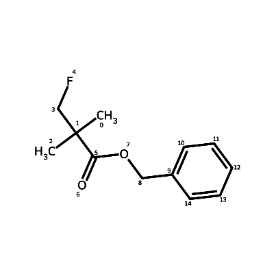 CC(C)(CF)C(=O)OCc1ccccc1